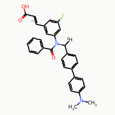 [2H]C(c1ccc(-c2ccc(N(C)C)cc2)cc1)N(C(=O)c1ccccc1)c1cc(F)cc(/C=C/C(=O)O)c1